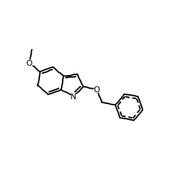 COC1=CC2=CC(OCc3ccccc3)=NC2=CC1